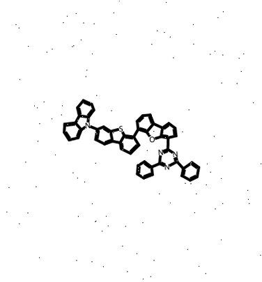 c1ccc(-c2nc(-c3ccccc3)nc(-c3cccc4c3oc3c(-c5cccc6c5sc5cc(-n7c8ccccc8c8ccccc87)ccc56)cccc34)n2)cc1